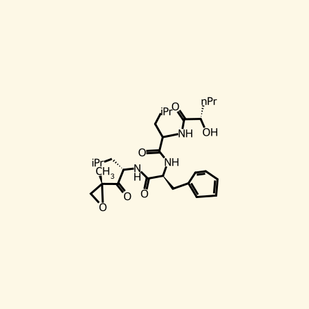 CCC[C@H](O)C(=O)NC(CC(C)C)C(=O)N[C@@H](Cc1ccccc1)C(=O)N[C@@H](CC(C)C)C(=O)[C@@]1(C)CO1